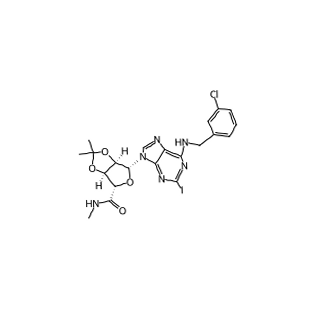 CNC(=O)[C@H]1O[C@@H](n2cnc3c(NCc4cccc(Cl)c4)nc(I)nc32)[C@@H]2OC(C)(C)O[C@@H]21